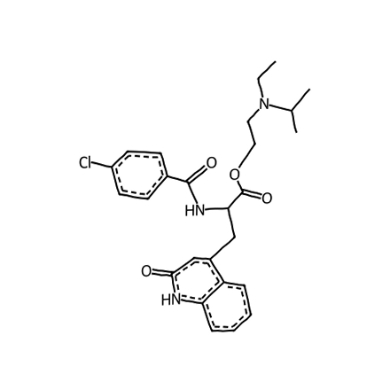 CCN(CCOC(=O)C(Cc1cc(=O)[nH]c2ccccc12)NC(=O)c1ccc(Cl)cc1)C(C)C